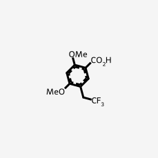 COc1cc(OC)c(C(=O)O)cc1CC(F)(F)F